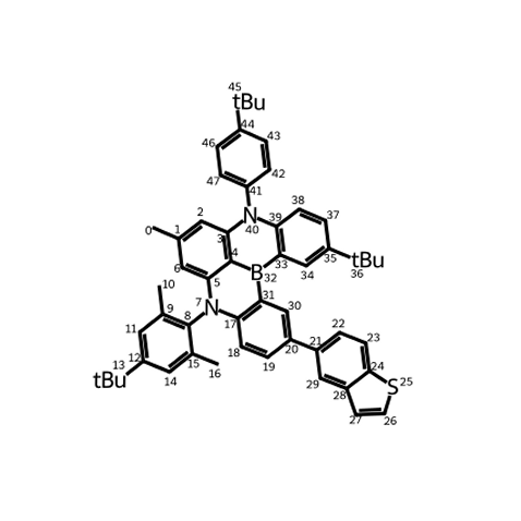 Cc1cc2c3c(c1)N(c1c(C)cc(C(C)(C)C)cc1C)c1ccc(-c4ccc5sccc5c4)cc1B3c1cc(C(C)(C)C)ccc1N2c1ccc(C(C)(C)C)cc1